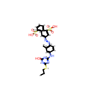 CCCSc1nc(O)nc(Nc2ccc(/N=N/c3cc(S(=O)(=O)O)c4cccc(S(=O)(=O)O)c4c3)c(C)c2)n1